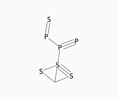 P#P(P=S)S12#SC1S2